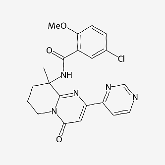 COc1ccc(Cl)cc1C(=O)NC1(C)CCCn2c1nc(-c1ccncn1)cc2=O